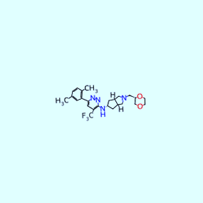 Cc1ccc(C)c(-c2cc(C(F)(F)F)c(N[C@@H]3C[C@@H]4CN(C[C@@H]5COCCO5)C[C@@H]4C3)nn2)c1